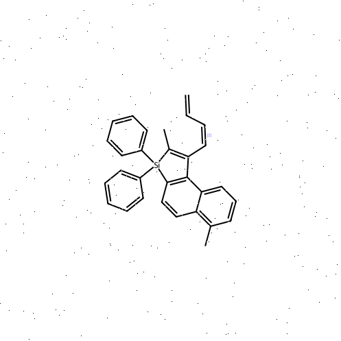 C=C/C=C\C1=C(C)[Si](c2ccccc2)(c2ccccc2)c2ccc3c(C)cccc3c21